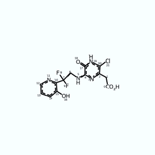 O=C(O)Cc1nc(NCC(F)(F)c2ncccc2O)c(=O)[nH]c1Cl